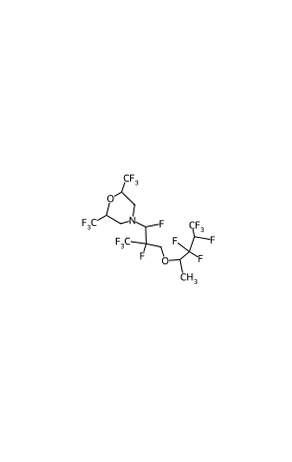 CC(OCC(F)(C(F)N1CC(C(F)(F)F)OC(C(F)(F)F)C1)C(F)(F)F)C(F)(F)C(F)C(F)(F)F